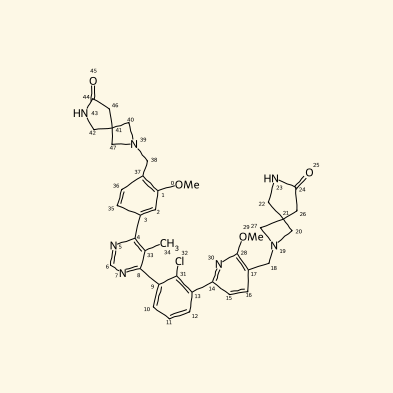 COc1cc(-c2ncnc(-c3cccc(-c4ccc(CN5CC6(CNC(=O)C6)C5)c(OC)n4)c3Cl)c2C)ccc1CN1CC2(CNC(=O)C2)C1